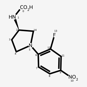 O=C(O)N[C@@H]1CCN(c2ccc([N+](=O)[O-])cc2F)C1